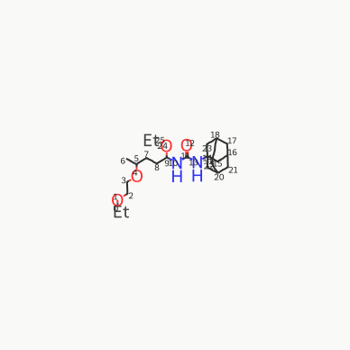 CCOCCOC(C)CCC(NC(=O)NC12CC3CC(CC(C3)C1)C2)OCC